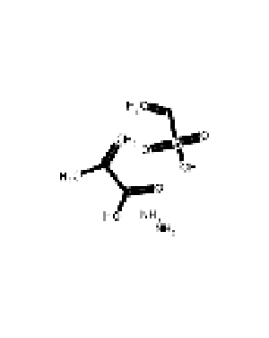 C=C(C)C(=O)O.C=CS(=O)(=O)O.N.N